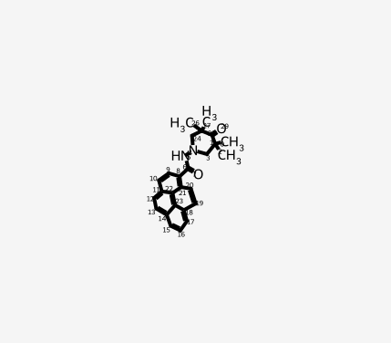 CC1(C)CN(NC(=O)c2ccc3ccc4cccc5ccc2c3c45)CC(C)(C)C1=O